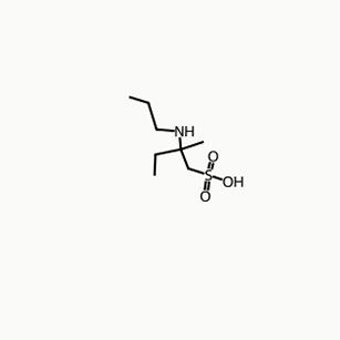 CCCNC(C)(CC)CS(=O)(=O)O